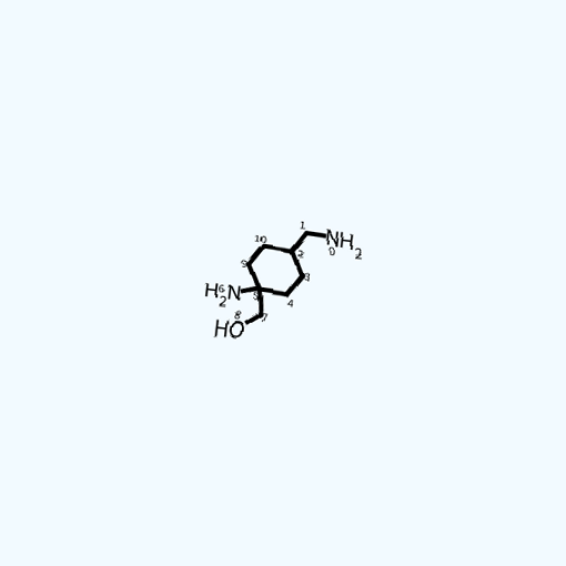 NCC1CCC(N)(CO)CC1